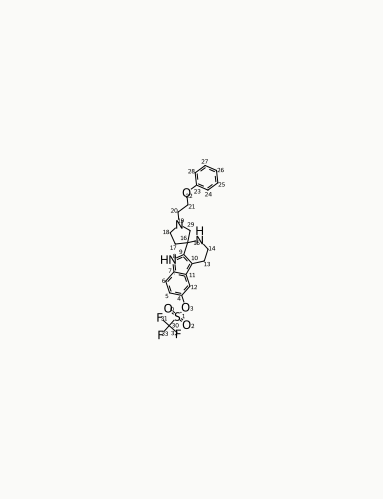 O=S(=O)(Oc1ccc2[nH]c3c(c2c1)CCNC31CCN(CCOc2ccccc2)C1)C(F)(F)F